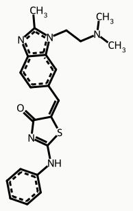 Cc1nc2ccc(C=C3SC(Nc4ccccc4)=NC3=O)cc2n1CCN(C)C